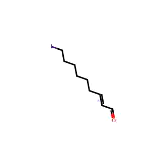 O=C/C=C/CCCCCCI